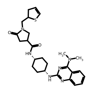 CN(C)c1nc(N[C@H]2CC[C@@H](NC(=O)C3CC(=O)N(CC4CC=CS4)C3)CC2)nc2ccccc12